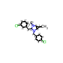 C=C1C2=C1N(Cc1ccc(Cl)cc1)C(Cc1cccc(Cl)c1)N2C